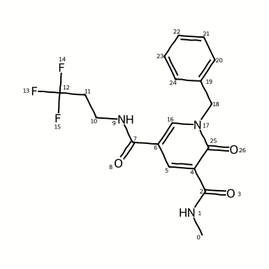 CNC(=O)c1cc(C(=O)NCCC(F)(F)F)cn(Cc2ccccc2)c1=O